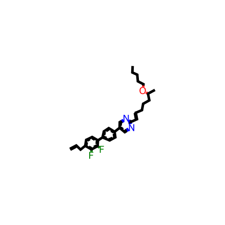 C=CCc1ccc(-c2ccc(-c3cnc(/C=C/CCCC(C)OCCCCC)nc3)cc2)c(F)c1F